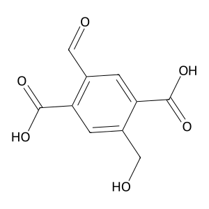 O=Cc1cc(C(=O)O)c(CO)cc1C(=O)O